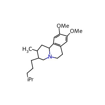 COc1cc2c(cc1OC)C1CC(C)C(CCCC(C)C)CN1CC2